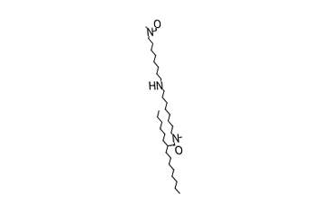 CCCCCCCCC(CCCCCC)C(=O)N(C)CCCCCCCCNCCCCCCCCN(C)C=O